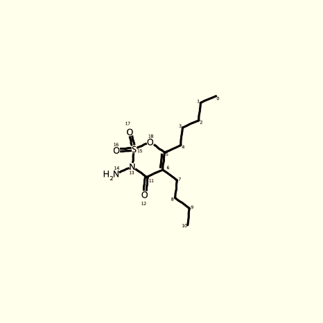 CCCCCC1=C(CCCC)C(=O)N(N)S(=O)(=O)O1